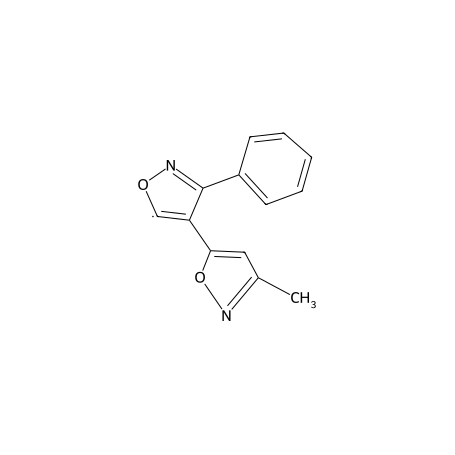 Cc1cc(-c2[c]onc2-c2ccccc2)on1